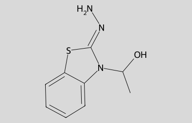 CC(O)n1/c(=N/N)sc2ccccc21